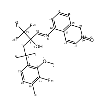 COc1c(C(C)(C)CC(O)(C=Nc2cccc3c2C=C[N+](=O)C3)C(F)(F)F)ccc(C)c1F